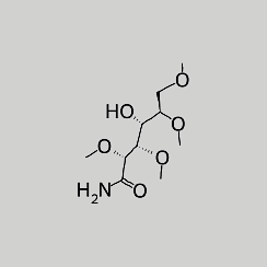 COC[C@@H](OC)[C@@H](O)[C@H](OC)[C@@H](OC)C(N)=O